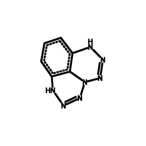 c1cc2c3c(c1)NN=NN3N=NN2